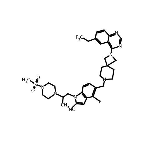 CC(Cn1c(C#N)cc2c(F)c(CN3CCC4(CC3)CN(c3ncnc5ccc(CC(F)(F)F)cc35)C4)ccc21)N1CCN(S(C)(=O)=O)CC1